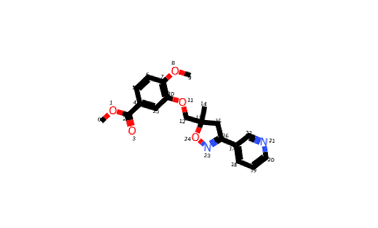 COC(=O)c1ccc(OC)c(OCC2(C)CC(c3cccnc3)=NO2)c1